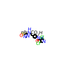 CCC[S+]([O-])c1cc(NC(Cc2ccc(NC(=O)c3c(Cl)cncc3Cl)cc2)C(=O)O)ncn1